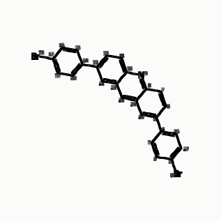 Brc1ccc(-c2ccc3nc4ccc(-c5ccc(Br)cc5)cc4cc3c2)cc1